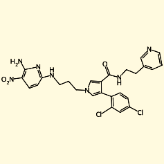 Nc1nc(NCCCn2cc(C(=O)NCCc3cccnc3)c(-c3ccc(Cl)cc3Cl)c2)ccc1[N+](=O)[O-]